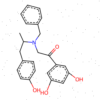 CC(Cc1ccc(O)cc1)N(CC(=O)c1cc(O)cc(O)c1)Cc1ccccc1